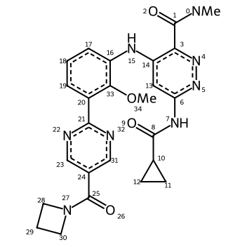 CNC(=O)c1nnc(NC(=O)C2CC2)cc1Nc1cccc(-c2ncc(C(=O)N3CCC3)cn2)c1OC